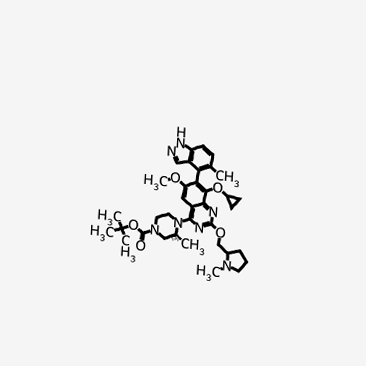 COc1cc2c(N3CCN(C(=O)OC(C)(C)C)C[C@@H]3C)nc(OCC3CCCN3C)nc2c(OC2CC2)c1-c1c(C)ccc2[nH]ncc12